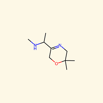 CNC(C)C1=NCC(C)(C)OC1